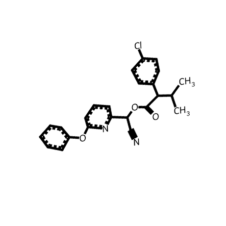 CC(C)C(C(=O)OC(C#N)c1cccc(Oc2ccccc2)n1)c1ccc(Cl)cc1